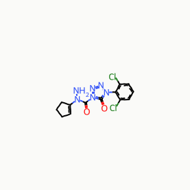 NN(C(=O)n1nnn(-c2c(Cl)cccc2Cl)c1=O)C1=CCCC1